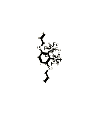 C=CCSc1ccc(SCC=C)c(S(F)(F)(F)(F)F)c1S(F)(F)(F)(F)F